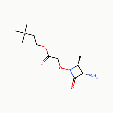 C[C@H]1[C@H](N)C(=O)N1OCC(=O)OCC[Si](C)(C)C